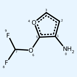 Nc1c[c]oc1OC(F)F